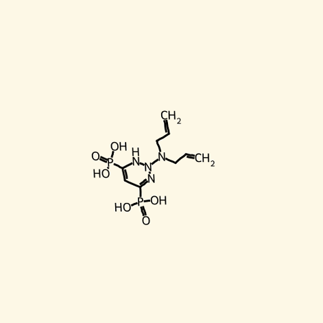 C=CCN(CC=C)N1N=C(P(=O)(O)O)C=C(P(=O)(O)O)N1